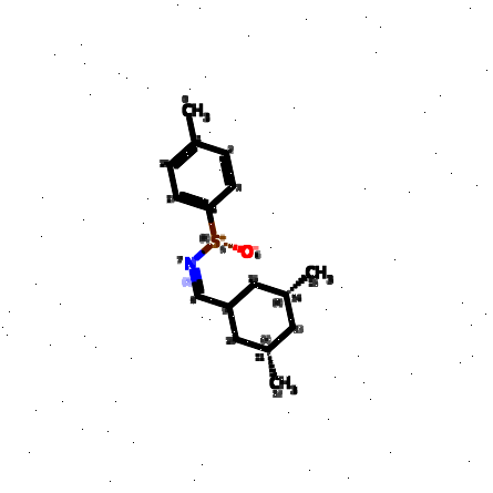 Cc1ccc([S@+]([O-])/N=C\C2C[C@@H](C)C[C@@H](C)C2)cc1